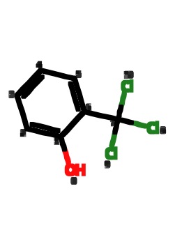 Oc1ccccc1C(Cl)(Cl)Cl